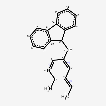 C/C=C/C=C(\C=N/CN)NC1c2ccccc2-c2ccccc21